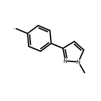 [CH2]c1ccc(-c2ccn(C)n2)cc1